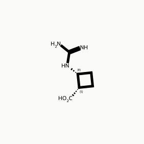 N=C(N)N[C@@H]1CC[C@@H]1C(=O)O